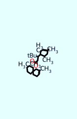 CC1=CC(C)C(C(CC(=O)OC2C(C)(C)CCCC23CCC=C(C)C3)C(C)(C)C)C(C)C1